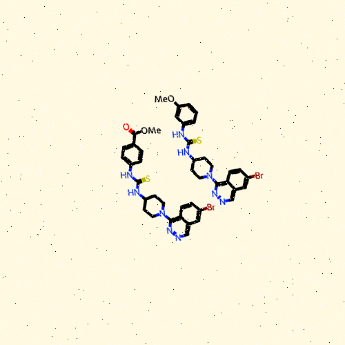 COC(=O)c1ccc(NC(=S)NC2CCN(c3nncc4cc(Br)ccc34)CC2)cc1.COc1cccc(NC(=S)NC2CCN(c3nncc4cc(Br)ccc34)CC2)c1